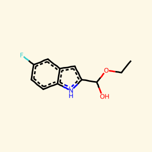 CCOC(O)c1cc2cc(F)ccc2[nH]1